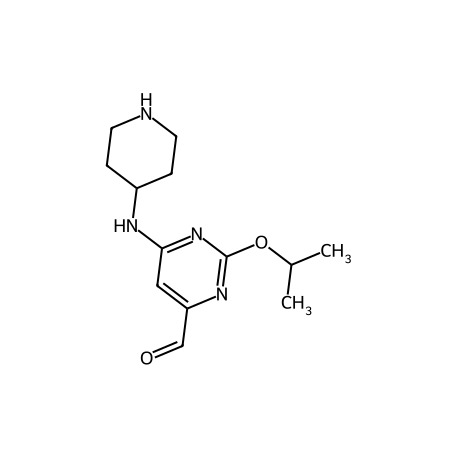 CC(C)Oc1nc(C=O)cc(NC2CCNCC2)n1